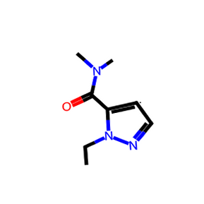 CCn1nc[c]c1C(=O)N(C)C